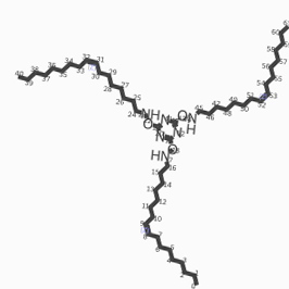 CCCCCCCC/C=C\CCCCCCCNOc1nc(ONCCCCCCC/C=C\CCCCCCCC)nc(ONCCCCCCC/C=C\CCCCCCCC)n1